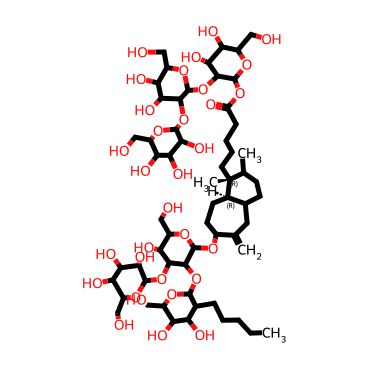 C=C1CC2CCC(C)[C@@](C)(CCCCC(=O)OC3OC(CO)C(O)C(O)C3OC3OC(CO)C(O)C(O)C3OC3OC(CO)C(O)C(O)C3O)[C@@H]2CCC1OC1OC(CO)C(O)C(OC2OC(CO)C(O)C(O)C2O)C1OC1OC(CO)C(O)C(O)C1CCCCC